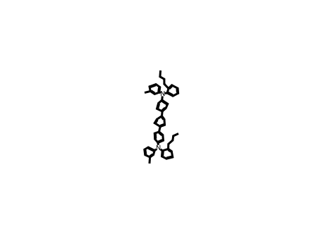 CCCCc1ccccc1N(c1ccc(-c2ccc(-c3ccc(N(c4cccc(C)c4)c4ccccc4CCCC)cc3)cc2)cc1)c1cccc(C)c1